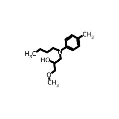 CCCCN(CC(O)COC)c1ccc(C)cc1